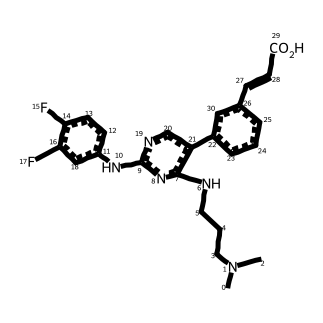 CN(C)CCCNc1nc(Nc2ccc(F)c(F)c2)ncc1-c1cccc(C=CC(=O)O)c1